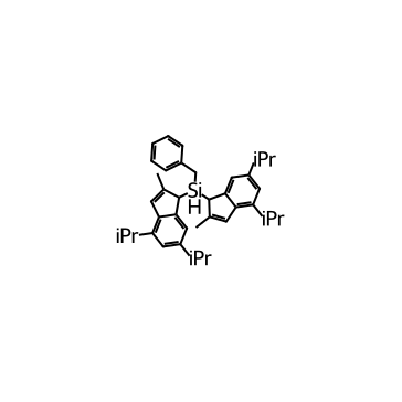 CC1=Cc2c(C(C)C)cc(C(C)C)cc2C1[SiH](Cc1ccccc1)C1C(C)=Cc2c(C(C)C)cc(C(C)C)cc21